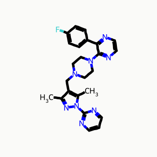 Cc1nn(-c2ncccn2)c(C)c1CN1CCN(c2nccnc2-c2ccc(F)cc2)CC1